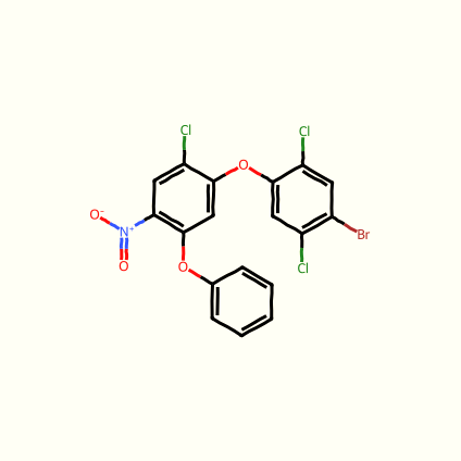 O=[N+]([O-])c1cc(Cl)c(Oc2cc(Cl)c(Br)cc2Cl)cc1Oc1ccccc1